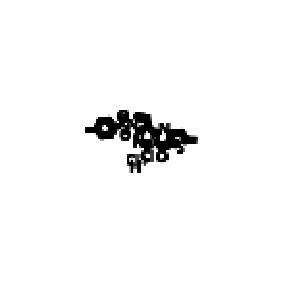 Cc1ccc(S(=O)(=O)n2ccc3c2nc(Cl)n2c(=O)c4sc(C)cc4nc32)cc1.[Cl-].[H+]